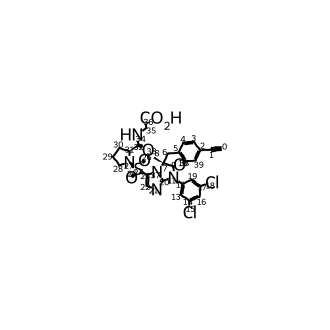 C#Cc1ccc(C[C@]2(C)C(=O)N(c3cc(Cl)cc(Cl)c3)c3ncc(S(=O)(=O)N4CCC[C@H]4C(=O)NCC(=O)O)n32)cc1